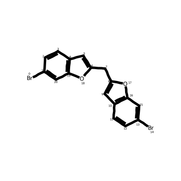 Brc1ccc2cc(Cc3cc4ccc(Br)cc4o3)oc2c1